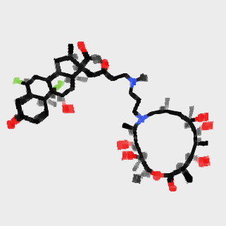 CCC(=O)[C@@]1(CC(=O)CCN(CCCN2C[C@H](C)C[C@@](C)(O)[C@H](O)[C@@H](C)[C@H](O)[C@@H](C)C(=O)O[C@H](CC)[C@@](C)(O)[C@H](O)[C@H]2C)C(C)=O)[C@H](C)CC2C3C[C@H](F)C4=CC(=O)C=C[C@]4(C)[C@@]3(F)[C@@H](O)C[C@@]21C